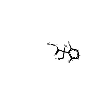 CC(C)(C)OC(=O)C(C)(CN)c1c(F)cccc1Cl